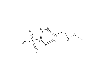 CCCCc1ccc(S([O])(=O)=O)cc1